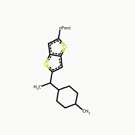 CCCCCc1cc2sc(C(C)C3CCC(C)CC3)cc2s1